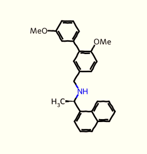 COc1cccc(-c2cc(CN[C@H](C)c3cccc4ccccc34)ccc2OC)c1